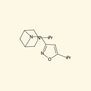 CC(C)c1cc(CN2C3CC2CN(C(C)C)C3)no1